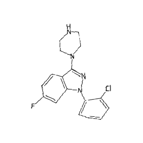 Fc1ccc2c(N3CCNCC3)nn(-c3ccccc3Cl)c2c1